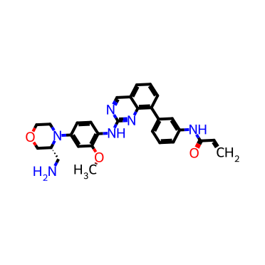 C=CC(=O)Nc1cccc(-c2cccc3cnc(Nc4ccc(N5CCOC[C@H]5CN)cc4OC)nc23)c1